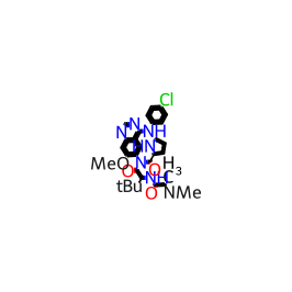 CN[C@@H](C)C(=O)N[C@H](C(=O)N(C(=O)[C@@H]1CCCN1)c1cc2c(Nc3ccc(Cl)cc3)ncnc2cc1OC)C(C)(C)C